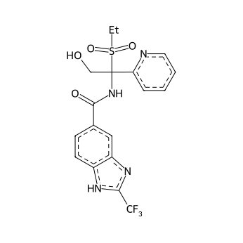 CCS(=O)(=O)C(CO)(NC(=O)c1ccc2[nH]c(C(F)(F)F)nc2c1)c1ccccn1